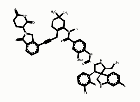 COc1cc(C(=O)N(C2=C(CC#Cc3cccc4c3CN(C3CCC(=O)NC3=O)C4=O)COC(C)(C)C2)C(C)C)ccc1NC(=O)[C@@H]1N[C@@H](CC(C)(C)C)[C@@]2(CNc3cc(Cl)ccc32)[C@H]1c1cccc(Cl)c1F